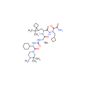 CN1CCN(C(=O)[C@@H](NC(=O)N[C@H](C(=O)N2C[C@]3(C[C@H]2C(=O)NC(CC2CCC2)C(=O)C(N)=O)C(C)(C)C32CCC2)C(C)(C)C)C2CCCCC2)CC1(C)C